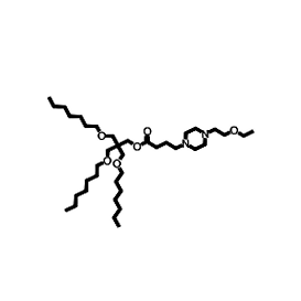 CCCCCCCOCC(COCCCCCCC)(COCCCCCCC)COC(=O)CCCN1CCN(CCOCC)CC1